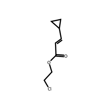 O=C(C=CC1CC1)OCCCl